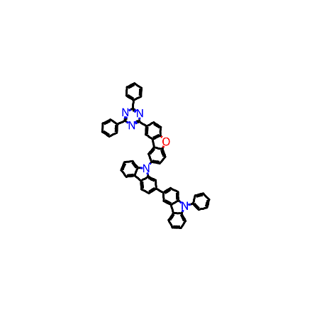 c1ccc(-c2nc(-c3ccccc3)nc(-c3ccc4oc5ccc(-n6c7ccccc7c7ccc(-c8ccc9c(c8)c8ccccc8n9-c8ccccc8)cc76)cc5c4c3)n2)cc1